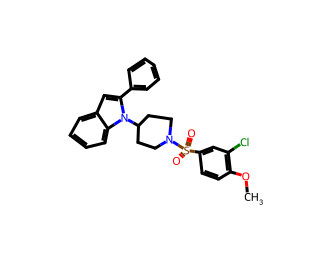 COc1ccc(S(=O)(=O)N2CCC(n3c(-c4ccccc4)cc4ccccc43)CC2)cc1Cl